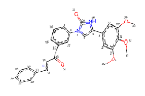 COc1cc(-c2cn(-c3cccc(C(=O)/C=C/c4ccccc4)c3)c(=O)[nH]2)cc(OC)c1OC